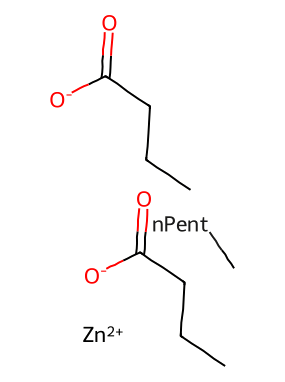 CCCC(=O)[O-].CCCC(=O)[O-].CCCCCC.[Zn+2]